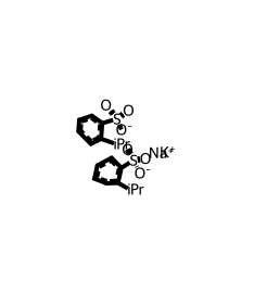 CC(C)c1ccccc1S(=O)(=O)[O-].CC(C)c1ccccc1S(=O)(=O)[O-].[K+].[Na+]